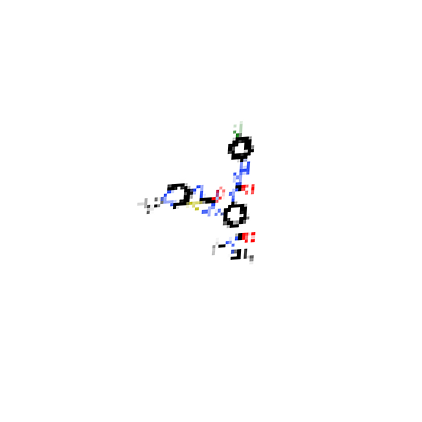 CN1CCc2nc(C(=O)N[C@@H]3C[C@@H](C(=O)N(C)C)CC[C@@H]3NC(=O)N=Nc3ccc(Cl)cc3)sc2C1